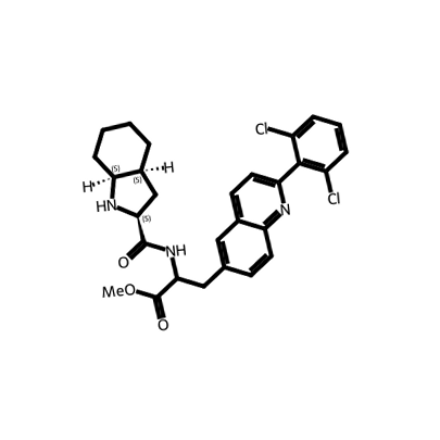 COC(=O)C(Cc1ccc2nc(-c3c(Cl)cccc3Cl)ccc2c1)NC(=O)[C@@H]1C[C@@H]2CCCC[C@@H]2N1